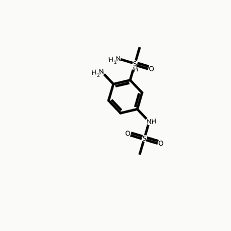 CS(=O)(=O)Nc1ccc(N)c([SH](C)(N)=O)c1